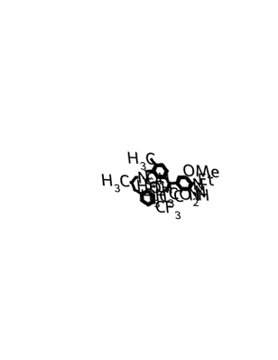 CCn1nnc2c(C)c(C(c3ccc(C)c(CN4CC(C)Cc5ccc(C(F)(F)F)cc5S4(O)O)c3)C(C)(C)C(=O)O)cc(OC)c21